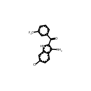 Nc1c(C(=O)c2cccc(C(F)(F)F)c2)[nH]c2cc(Cl)ccc12